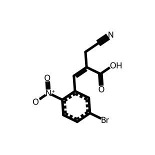 N#CCC(=Cc1cc(Br)ccc1[N+](=O)[O-])C(=O)O